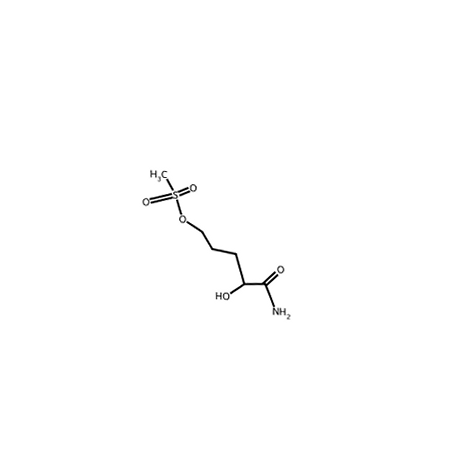 CS(=O)(=O)OCCCC(O)C(N)=O